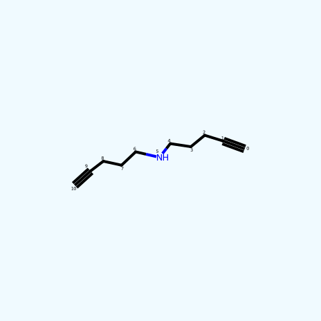 C#CCCCNCCCC#C